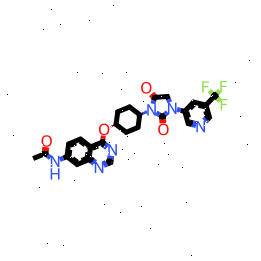 CC(=O)Nc1ccc2c(O[C@H]3CC[C@H](N4C(=O)CN(c5cncc(C(F)(F)F)c5)C4=O)CC3)ncnc2c1